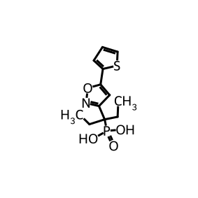 CCC(CC)(c1cc(-c2cccs2)on1)P(=O)(O)O